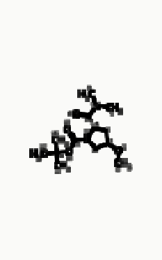 CO[C@@H]1C[C@@H](C(=O)N(C)C)N(C(=O)OC(C)(C)C)C1